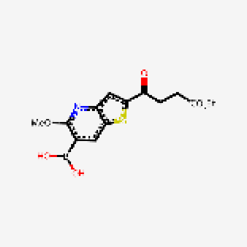 CCOC(=O)CCC(=O)c1cc2nc(OC)c(B(O)O)cc2s1